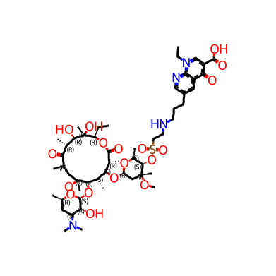 CC[C@H]1OC(=O)[C@H](C)[C@@H](O[C@H]2C[C@@](C)(OC)[C@@H](OS(=O)(=O)CCNCCCc3cnc4c(c3)c(=O)c(C(=O)O)cn4CC)[C@H](C)O2)[C@H](C)[C@@H](O[C@@H]2O[C@H](C)C[C@H](N(C)C)[C@H]2O)[C@](C)(OC)C[C@@H](C)C(=O)[C@H](C)[C@@H](O)[C@]1(C)O